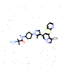 Cc1c(-c2cc(Sc3ncccc3F)c3c(C#N)cnn3c2)cnn1C1CCC(N(C)C(=O)C(C)(C)N)CC1